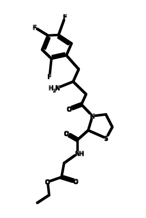 CCOC(=O)CNC(=O)C1SCCN1C(=O)CC(N)Cc1cc(F)c(F)cc1F